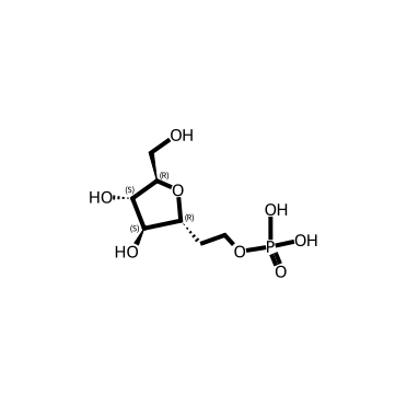 O=P(O)(O)OCC[C@H]1O[C@H](CO)[C@@H](O)[C@@H]1O